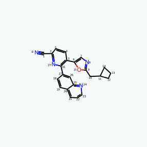 N#Cc1ccc(-c2cnc(CC3CCC3)o2)c(-c2ccc3cccnc3c2)n1